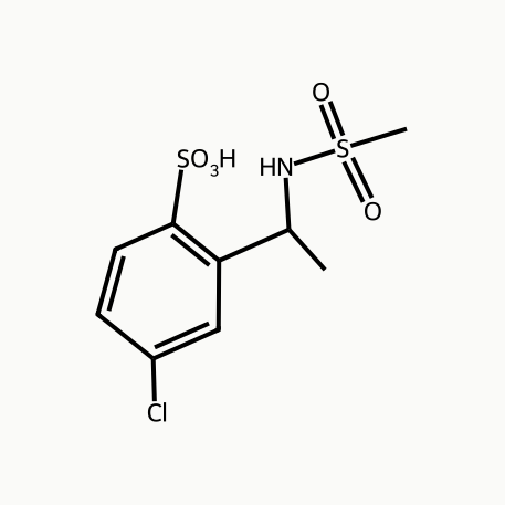 CC(NS(C)(=O)=O)c1cc(Cl)ccc1S(=O)(=O)O